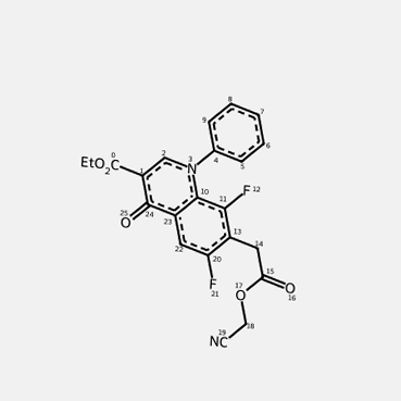 CCOC(=O)c1cn(-c2ccccc2)c2c(F)c(CC(=O)OCC#N)c(F)cc2c1=O